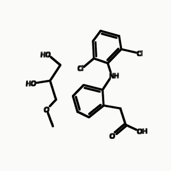 COCC(O)CO.O=C(O)Cc1ccccc1Nc1c(Cl)cccc1Cl